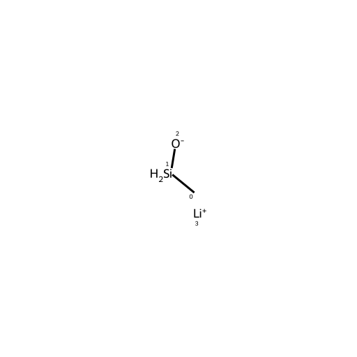 C[SiH2][O-].[Li+]